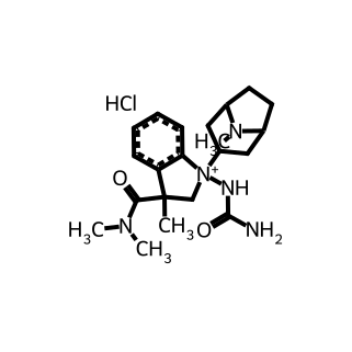 CN(C)C(=O)C1(C)C[N+](NC(N)=O)(C2CC3CCC(C2)N3C)c2ccccc21.Cl